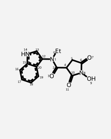 CCN(C(=O)C1CC(=O)N(O)C1=O)c1c[nH]c2ccccc12